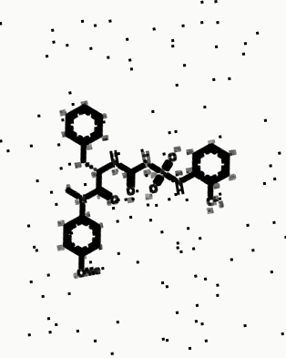 COc1ccc(N(C)C(=O)[C@H](Cc2ccccc2)NC(=O)NS(=O)(=O)Nc2ccccc2C(F)(F)F)cc1